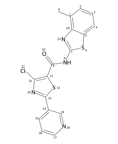 Cc1cccc2sc(NC(=O)c3sc(-c4cccnc4)nc3Cl)nc12